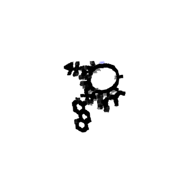 CCC(C)N(C(=O)O)[C@@H]1C(=O)N2[C@@H](C[C@@](C)(Oc3nccc4c5c(ccc34)CCCO5)C2(F)F)C(=O)N[C@]2(C(=O)NS(=O)(=O)C3(C)CC3)C[C@H]2/C=C\CC[C@@H](C)C[C@H]1C